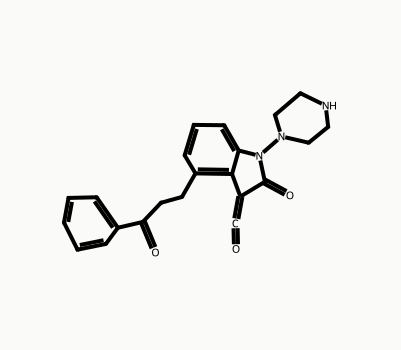 O=C=C1C(=O)N(N2CCNCC2)c2cccc(CCC(=O)c3ccccc3)c21